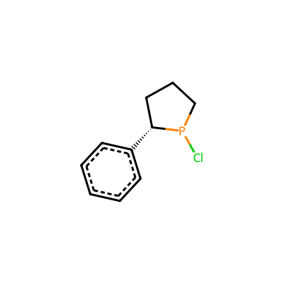 ClP1CCC[C@H]1c1ccccc1